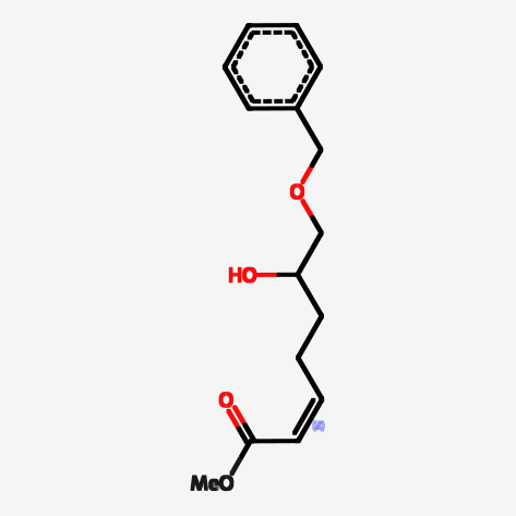 COC(=O)/C=C\CCC(O)COCc1ccccc1